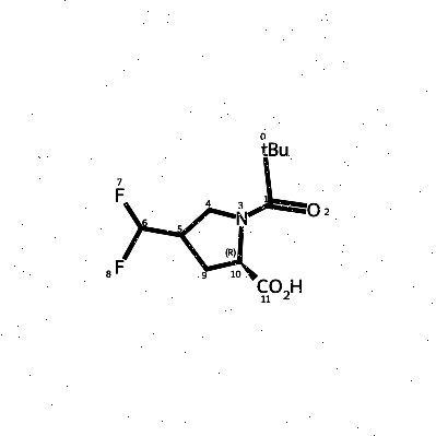 CC(C)(C)C(=O)N1CC(C(F)F)C[C@@H]1C(=O)O